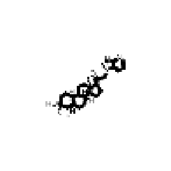 C[C@@]1(O)CC[C@H]2[C@H](CC[C@@H]3[C@@H]2CC[C@]2(C)C(C(=O)Cn4nnc5ncccc54)CC[C@@H]32)C1